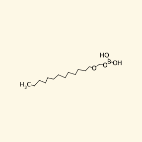 CCCCCCCCCCCCCOCOB(O)O